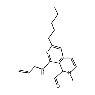 C=CCNc1nc(CCCCC)cc2c1C(C=O)N(C)C=C2